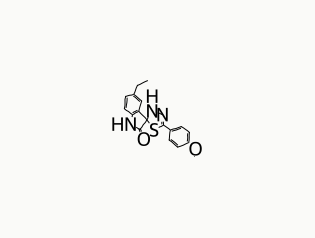 CCc1ccc2c(c1)C1(NN=C(c3ccc(OC)cc3)S1)C(=O)N2